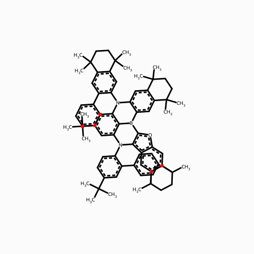 CC(C)(C)c1ccc(N2c3cc(C(C)(C)C)cc4c3B(c3cc5c(cc3N4c3cc4c(cc3-c3ccccc3)C(C)(C)CCC4(C)C)C(C)(C)CCC5(C)C)c3oc4cc5c(cc4c32)C2(C)CCC5(C)CC2)c(-c2ccccc2)c1